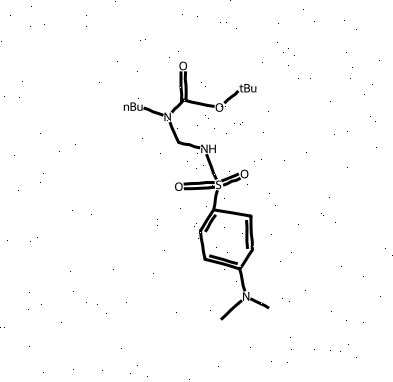 CCCCN(CNS(=O)(=O)c1ccc(N(C)C)cc1)C(=O)OC(C)(C)C